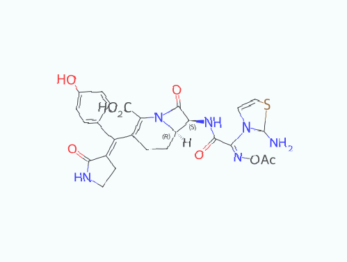 CC(=O)ON=C(C(=O)N[C@@H]1C(=O)N2C(C(=O)O)=C(C(=C3CCNC3=O)c3ccc(O)cc3)CC[C@H]12)N1C=CSC1N